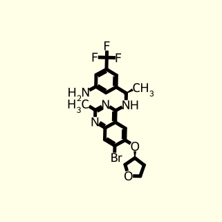 Cc1nc(N[C@H](C)c2cc(N)cc(C(F)(F)F)c2)c2cc(O[C@H]3CCOC3)c(Br)cc2n1